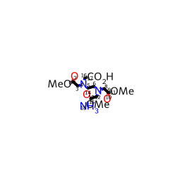 COC(=O)CN(CCN(CC(=O)OC)CC(=O)OC)CC(=O)O.N